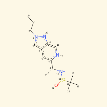 CCCn1cc2cc([C@@H](C)N[S+]([O-])C(C)(C)C)ncc2n1